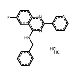 Cl.Cl.Fc1ccc2nc(-c3cccnc3)nc(NCc3ccccc3)c2c1